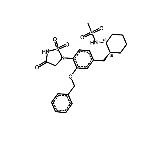 CS(=O)(=O)N[C@@H]1CCCC[C@H]1Cc1ccc(N2CC(=O)NS2(=O)=O)c(OCc2ccccc2)c1